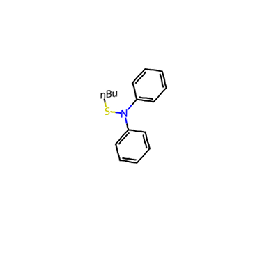 CCCCSN(c1ccccc1)c1ccccc1